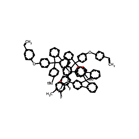 C=Cc1ccc(Oc2ccc(C3(c4ccc(C(C)(C)C)cc4)c4ccccc4-c4ccc(N(c5ccc(C)c(F)c5)c5ccc6c(c5)C5(c7ccccc7-6)c6ccccc6-c6ccc(N(c7ccc(C)c(F)c7)c7ccc8c(c7)C(c7ccc(Oc9ccc(C=C)cc9)cc7)(c7ccc(C(C)(C)C)cc7)c7ccccc7-8)cc65)cc43)cc2)cc1